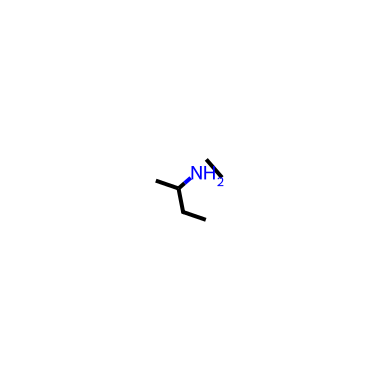 CC.CCC(C)N